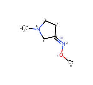 CCO/N=C1/CCN(C)C1